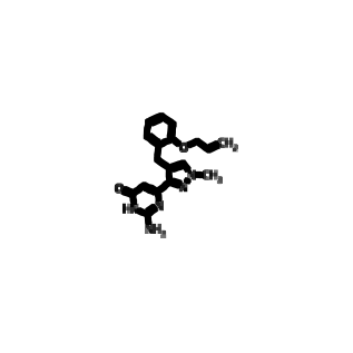 C=CCOc1ccccc1Cc1cn(C)nc1-c1cc(=O)[nH]c(N)n1